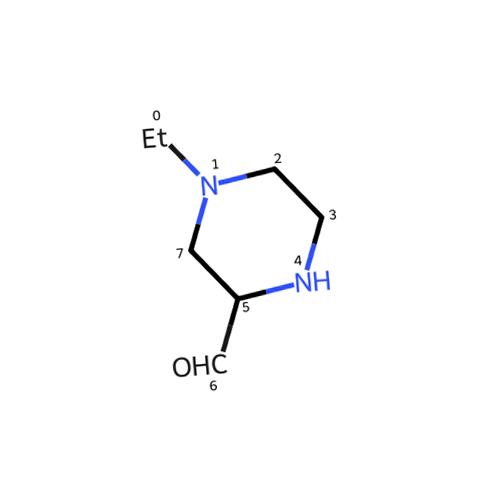 CCN1CCNC(C=O)C1